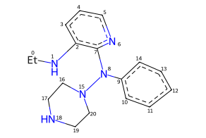 CCNc1cccnc1N(c1ccccc1)N1CCNCC1